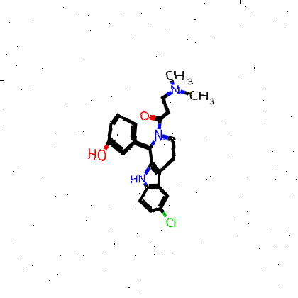 CN(C)CCC(=O)N1CCc2c([nH]c3ccc(Cl)cc23)C1c1cccc(O)c1